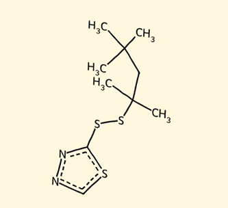 CC(C)(C)CC(C)(C)SSc1nncs1